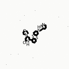 O=c1cc(N2CCOCC2)cc(-c2cccc3c2Sc2ccc(NCc4cccnn4)cc2S3)[nH]1